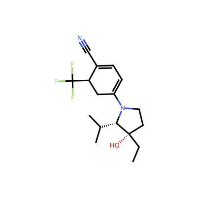 CC[C@]1(O)CCN(C2=CC=C(C#N)C(C(F)(F)F)C2)[C@H]1C(C)C